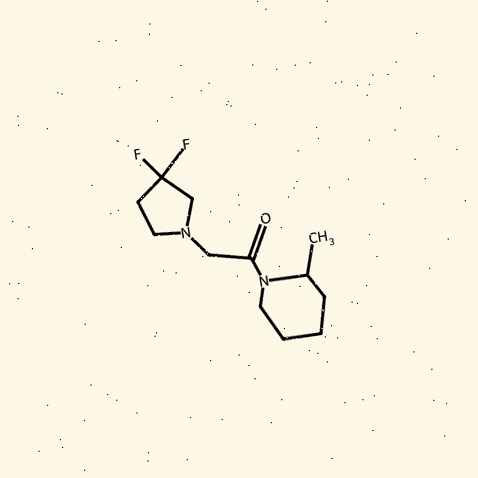 CC1CCCCN1C(=O)CN1CCC(F)(F)C1